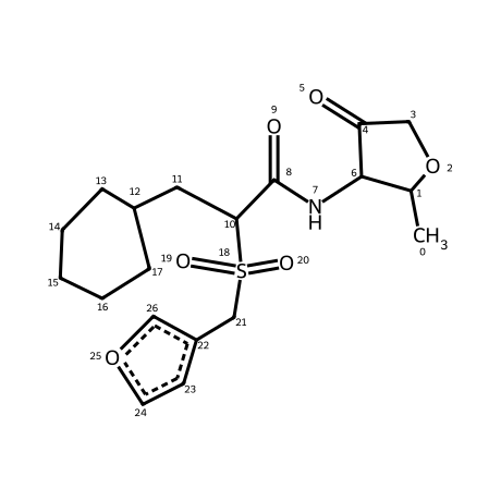 CC1OCC(=O)C1NC(=O)C(CC1CCCCC1)S(=O)(=O)Cc1ccoc1